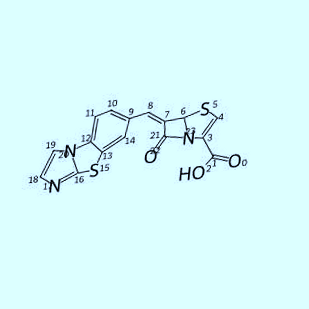 O=C(O)C1=CSC2C(=Cc3ccc4c(c3)sc3nccn34)C(=O)N12